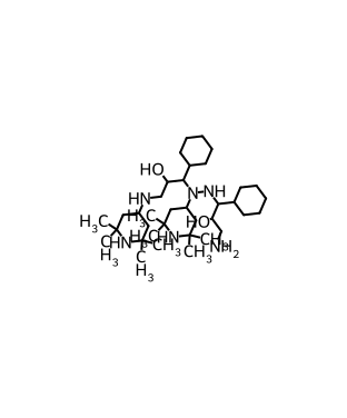 CC1(C)CC(NCC(O)C(C2CCCCC2)N(NC(C(O)CN)C2CCCCC2)C2CC(C)(C)NC(C)(C)C2)CC(C)(C)N1